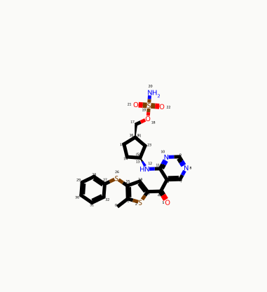 Cc1sc(C(=O)c2cncnc2N[C@H]2CC[C@@H](COS(N)(=O)=O)C2)cc1Sc1ccccc1